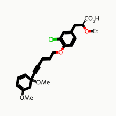 CCO[C@@H](Cc1ccc(OCC=CC#CC2(OC)C=CC=C(OC)C2)c(Cl)c1)C(=O)O